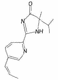 C/C=C\c1ccc(C2=NC(=O)C(C)(C(C)C)N2)nc1